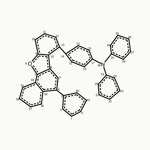 c1ccc(-c2cc3c(oc4cccc(-c5ccc(N(c6ccccc6)c6ccccc6)cc5)c43)c3ccccc23)cc1